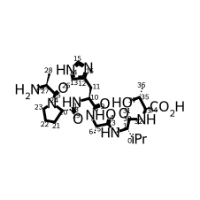 CC(C)[C@H](NC(=O)[C@H](C)NC(=O)[C@H](Cc1c[nH]cn1)NC(=O)[C@@H]1CCCN1C(=O)[C@H](C)N)C(=O)N[C@H](C(=O)O)[C@@H](C)O